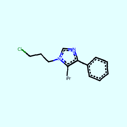 CC(C)c1c(-c2ccccc2)ncn1CCCCl